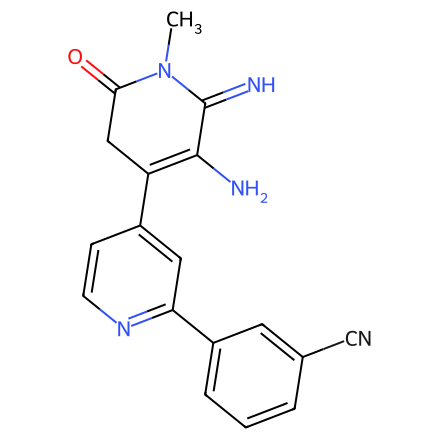 CN1C(=N)C(N)=C(c2ccnc(-c3cccc(C#N)c3)c2)CC1=O